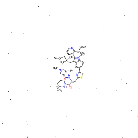 CCn1c(-c2cccnc2[C@H](C)OC)c(CC(C)(C)COC)c2cc(-c3csc(C[C@H](NC(=O)[C@@H]4CN(C)C[C@H]4C(C)C)C(=O)N4CCC[C@@H](C)N4)n3)ccc21